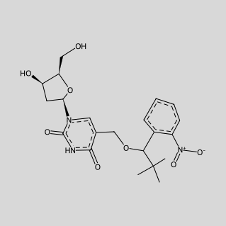 CC(C)(C)C(OCc1cn([C@H]2C[C@@H](O)[C@@H](CO)O2)c(=O)[nH]c1=O)c1ccccc1[N+](=O)[O-]